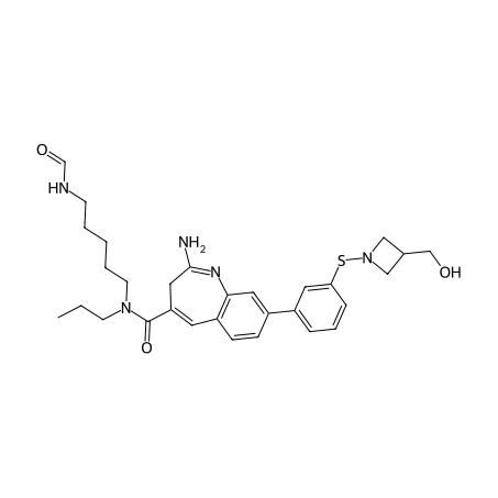 CCCN(CCCCCNC=O)C(=O)C1=Cc2ccc(-c3cccc(SN4CC(CO)C4)c3)cc2N=C(N)C1